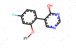 CC(C)Oc1cc(F)ccc1-c1cncnc1O